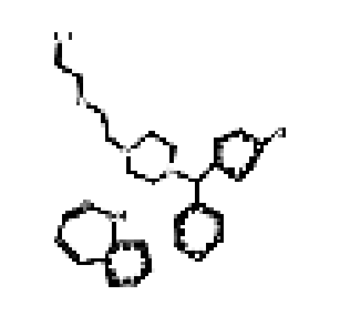 C1=Cc2ccccc2NN=C1.OCCOCCN1CCN(C(c2ccccc2)c2ccc(Cl)cc2)CC1